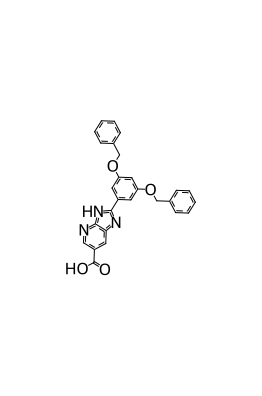 O=C(O)c1cnc2[nH]c(-c3cc(OCc4ccccc4)cc(OCc4ccccc4)c3)nc2c1